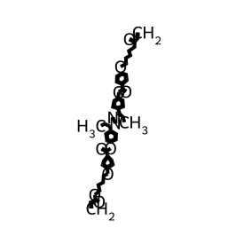 C=CC(=O)CCCCCOc1ccc(C(=O)Oc2ccc(/C(CC)=N/N=C(\CC)c3ccc(OC(=O)c4ccc(OCCCCOC(=O)C=C)cc4)cc3)cc2)cc1